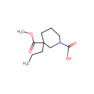 CCCC1(C(=O)OC)CCCN(C(=O)O)C1